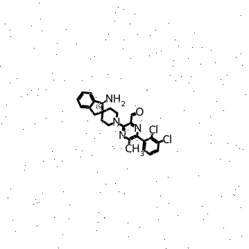 Cc1nc(N2CCC3(CC2)Cc2ccccc2[C@H]3N)c(C=O)nc1-c1cccc(Cl)c1Cl